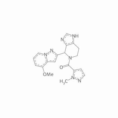 COc1cccn2nc(C3c4nc[nH]c4CCN3C(=O)c3ccnn3C)cc12